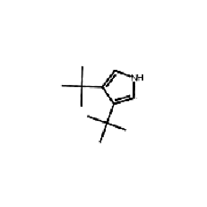 CC(C)(C)c1[c][nH]cc1C(C)(C)C